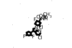 CS(=O)(=O)NC(=O)c1cc(Cl)c(-n2cc(-c3ccc(F)cc3F)c3cc(Cl)cnc32)cc1F